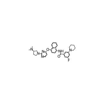 CN(C)C1CCN(c2nccc(Oc3ccc(NC(=O)c4cc(F)cc(N5CCCCC5)c4)c4ccccc34)n2)C1